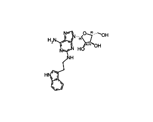 Nc1nc(NCCc2c[nH]c3ccccc23)nc2c1ncn2[C@@H]1O[C@H](CO)[C@@H](O)[C@H]1O